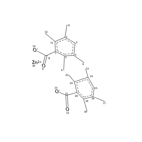 Cc1cc(C)c(C)c(C(=O)[O-])c1C.Cc1cc(C)c(C)c(C(=O)[O-])c1C.[Zn+2]